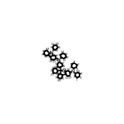 c1ccc(N(c2ccccc2)c2ccc3c(c2)OC(c2ccccc2)(c2ccc(N(c4ccccc4)c4ccc5c6ccccc6n(-c6ccccc6)c5c4)cc2)c2ccccc2-3)cc1